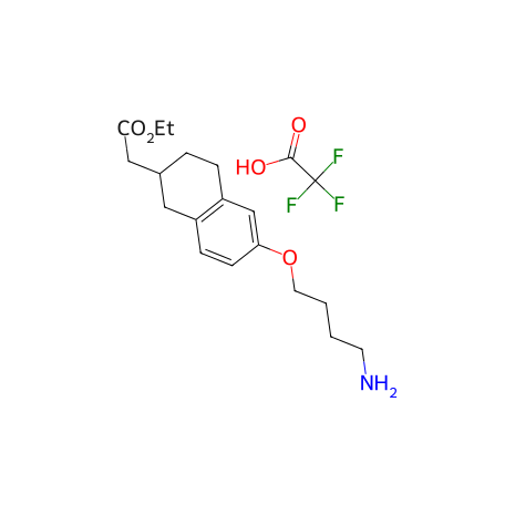 CCOC(=O)CC1CCc2cc(OCCCCN)ccc2C1.O=C(O)C(F)(F)F